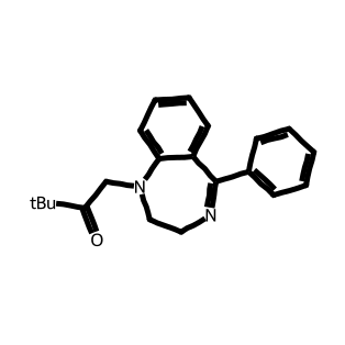 CC(C)(C)C(=O)CN1CCN=C(c2ccccc2)c2ccccc21